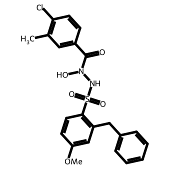 COc1ccc(S(=O)(=O)NN(O)C(=O)c2ccc(Cl)c(C)c2)c(Cc2ccccc2)c1